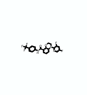 O=C(Nc1ccc(C(F)(F)F)cc1)c1cccc2c1OCCN2c1ncc(F)cc1F